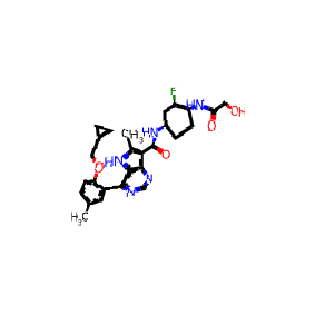 Cc1ccc(OCC2CC2)c(-c2ncnc3c(C(=O)N[C@@H]4CC[C@H](NC(=O)CO)[C@H](F)C4)c(C)[nH]c23)c1